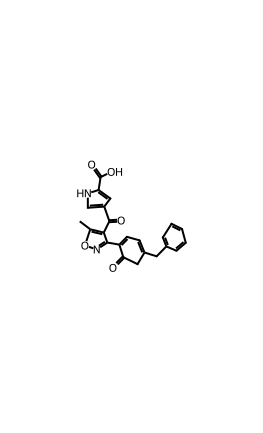 Cc1onc(C2=CC=C(Cc3ccccc3)CC2=O)c1C(=O)c1c[nH]c(C(=O)O)c1